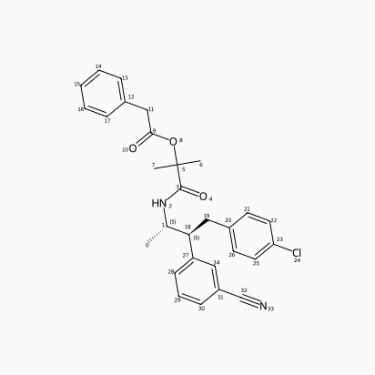 C[C@H](NC(=O)C(C)(C)OC(=O)Cc1ccccc1)[C@@H](Cc1ccc(Cl)cc1)c1cccc(C#N)c1